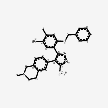 Cc1cc(OCc2ccccc2)c(-c2onc(C(=O)O)c2-c2ccc3c(c2)CCN(C)C3)cc1C(C)C